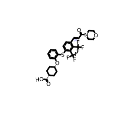 O=C(/C=C/c1ccc(Sc2ccccc2O[C@H]2CC[C@@H](C(=O)O)CC2)c(C(F)(F)F)c1C(F)(F)F)N1CCOCC1